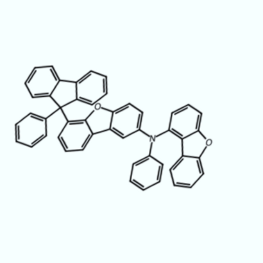 c1ccc(N(c2ccc3oc4c(C5(c6ccccc6)c6ccccc6-c6ccccc65)cccc4c3c2)c2cccc3oc4ccccc4c23)cc1